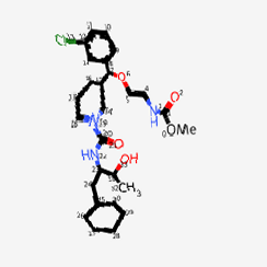 COC(=O)NCCOC(c1cccc(Cl)c1)C1CCCN(C(=O)NC(CC2CCCCC2)C(C)O)C1